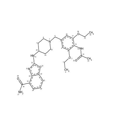 CCOc1cc(CN2CCC(Nc3nc4c(C(N)=O)[c]ccc4o3)CC2)cc(OCC)c1NC(C)=O